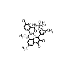 Cc1cc([C@@H](C)Nc2ccc(Cl)nc2C(=O)NS(C)(=O)=O)c2oc(-c3cnn(C)c3)c(Cl)c(=O)c2c1